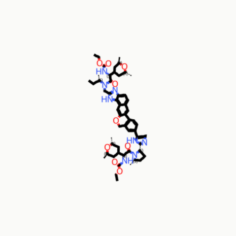 CCOC(=O)N[C@H](C(=O)N(Cc1nc2ccc3cc4c(cc3c2[nH]1)OCc1cc(-c2cnc([C@@H]3CC[C@H](C)N3C(=O)[C@@H](NC(=O)OCC)C3C[C@@H](C)O[C@H](C)C3)[nH]2)ccc1-4)[C@@H](C)CC)C1C[C@@H](C)O[C@H](C)C1